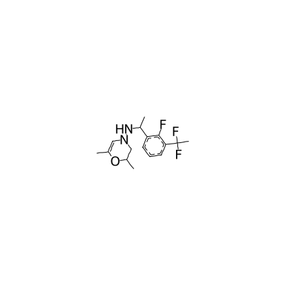 CC1=CN(NC(C)c2cccc(C(C)(F)F)c2F)CC(C)O1